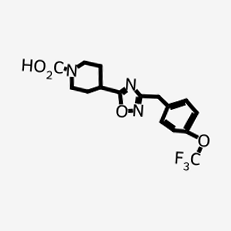 O=C(O)N1CCC(c2nc(Cc3ccc(OC(F)(F)F)cc3)no2)CC1